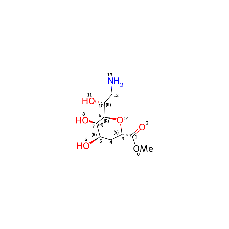 COC(=O)[C@@H]1C[C@@H](O)[C@@H](O)[C@@H]([C@H](O)CN)O1